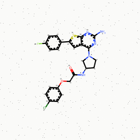 Nc1nc(N2CC[C@@H](NC(=O)COc3ccc(Cl)cc3)C2)c2cc(-c3ccc(F)cc3)sc2n1